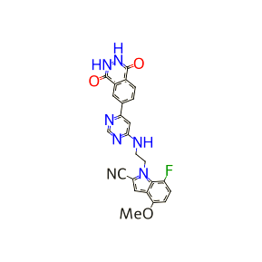 COc1ccc(F)c2c1cc(C#N)n2CCNc1cc(-c2ccc3c(=O)[nH][nH]c(=O)c3c2)ncn1